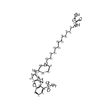 CC(C)S(=O)(=O)c1ccccc1Nc1nc(NC2CCCN(CCCCCCCCCCCCCNC(=O)OC(C)(C)C)C2)ncc1Cl